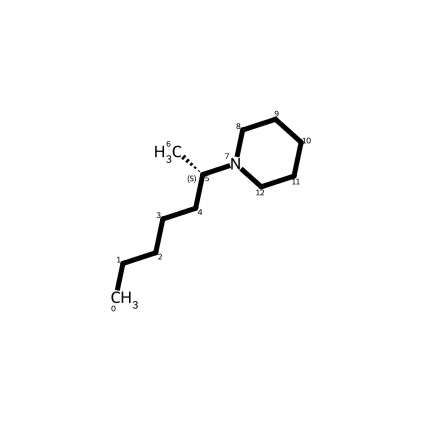 CCCCC[C@H](C)N1CCCCC1